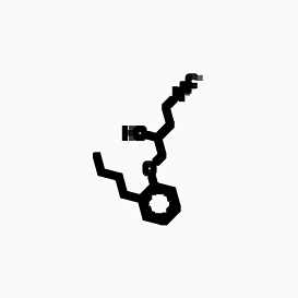 [C-]#[N+]CCC(O)COc1ccccc1CCCC